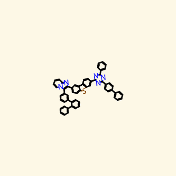 c1ccc(-c2ccc(-c3nc(-c4ccccc4)nc(-c4ccc5c(c4)sc4ccc(-c6nc7ccccn7c6-c6cccc(-c7ccccc7-c7ccccc7)c6)cc45)n3)cc2)cc1